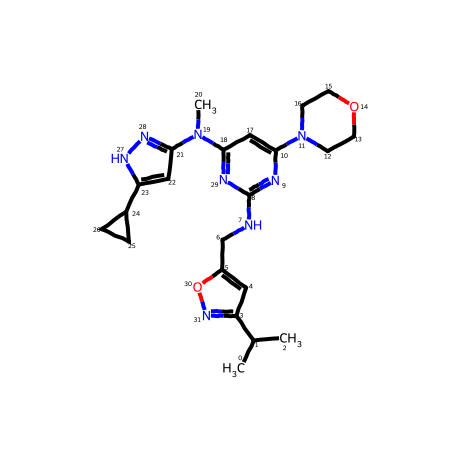 CC(C)c1cc(CNc2nc(N3CCOCC3)cc(N(C)c3cc(C4CC4)[nH]n3)n2)on1